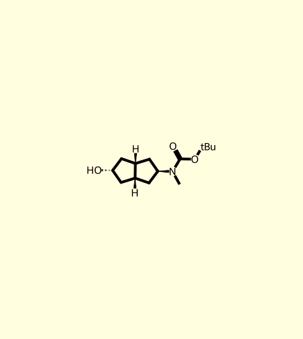 CN(C(=O)OC(C)(C)C)[C@@H]1C[C@H]2C[C@@H](O)C[C@H]2C1